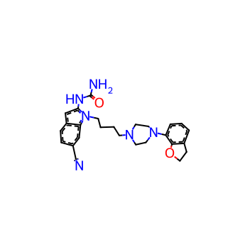 N#Cc1ccc2cc(NC(N)=O)n(CCCCN3CCN(c4cccc5c4OCC5)CC3)c2c1